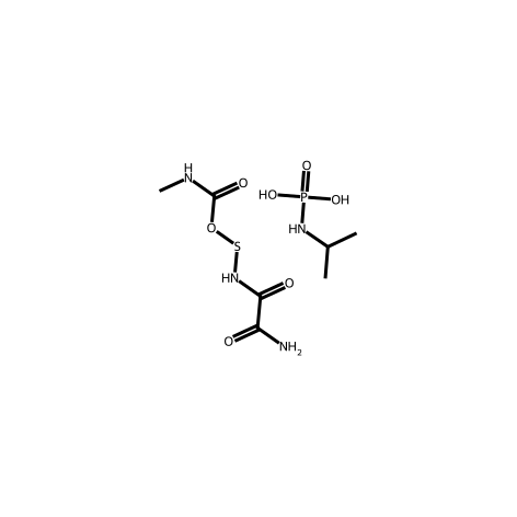 CC(C)NP(=O)(O)O.CNC(=O)OSNC(=O)C(N)=O